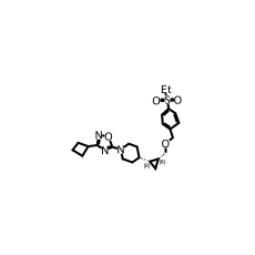 CCS(=O)(=O)c1ccc(COC[C@@H]2C[C@@H]2C2CCN(c3nc(C4CCC4)no3)CC2)cc1